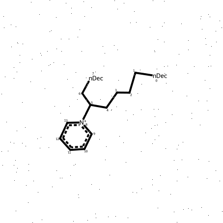 CCCCCCCCCCCCCCC(CCCCCCCCCCC)[n+]1ccccc1